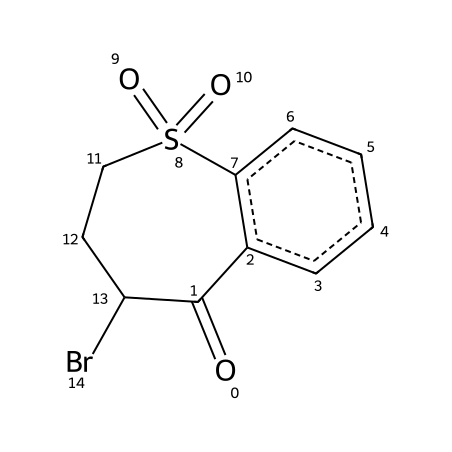 O=C1c2ccccc2S(=O)(=O)CCC1Br